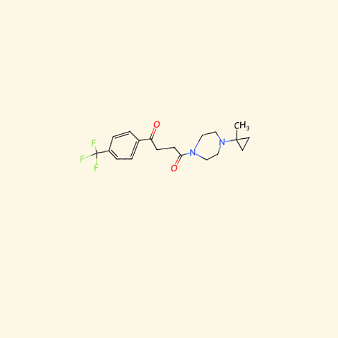 CC1(N2CCN(C(=O)CCC(=O)c3ccc(C(F)(F)F)cc3)CC2)CC1